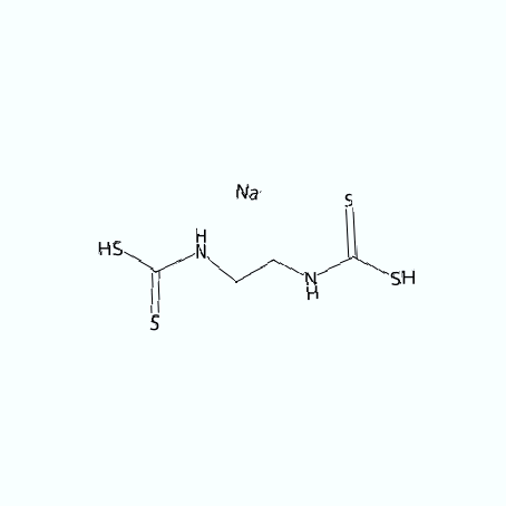 S=C(S)NCCNC(=S)S.[Na]